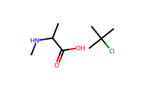 CC(C)(C)Cl.CNC(C)C(=O)O